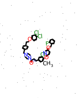 Cc1cc(/C=C/C(=O)N2CCN(Cc3ccc(CCOc4ccc(Cl)c(Cl)c4)cc3)CC2)cc(Cl)c1Oc1ccc(OCc2ccccc2F)cn1